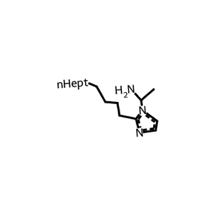 CCCCCCCCCCCc1nccn1C(C)N